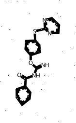 N=C(NC(=O)c1ccccc1)Oc1ccc(Sc2ncccn2)cc1